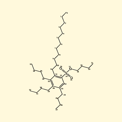 CCCCCCCCCCCCc1c(S(=O)(=O)OCCCC)cc(CCCC)c(CCCC)c1CCCC